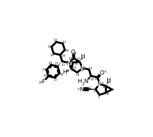 N#C[C@@H]1CC2C[C@@H]2N1C(=O)[C@@H](N)CN1C[C@@H]2C[C@H]1C(=O)N2[C@H](c1ccc(F)cc1)C1CCCCC1